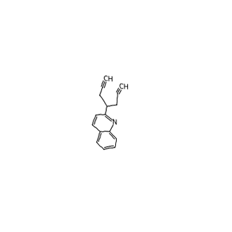 C#CCC(CC#C)c1ccc2ccccc2n1